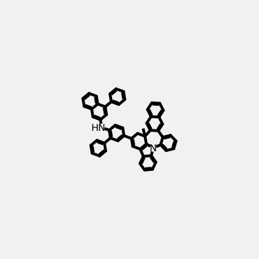 CC12CC(c3ccc(Nc4cc(-c5ccccc5)c5ccccc5c4)c(-c4ccccc4)c3)=Cc3c1n(c1ccccc31)-c1ccccc1-c1cc3ccccc3cc12